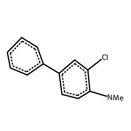 CNc1ccc(-c2ccccc2)cc1Cl